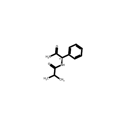 CC(C)C(=O)N[C@@H](C(N)=O)c1ccccc1